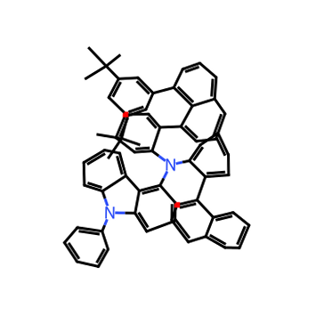 CC(C)(C)c1cc(-c2cccc3cccc(-c4ccccc4N(c4ccccc4-c4cccc5ccccc45)c4cccc5c4c4ccccc4n5-c4ccccc4)c23)cc(C(C)(C)C)c1